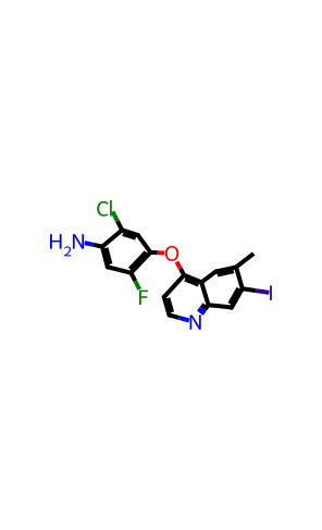 Cc1cc2c(Oc3cc(Cl)c(N)cc3F)ccnc2cc1I